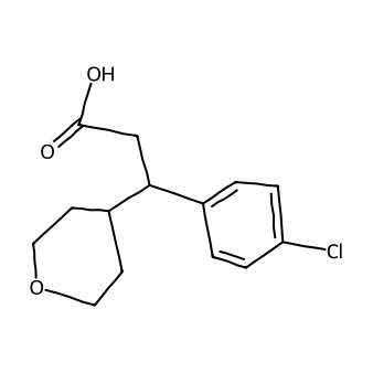 O=C(O)CC(c1ccc(Cl)cc1)C1CCOCC1